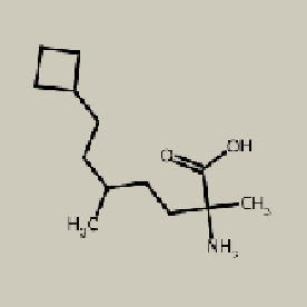 CC(CCC1CCC1)CCC(C)(N)C(=O)O